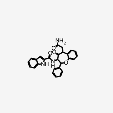 NC(=O)CC1C(=O)C(NC(=O)c2cc3ccccc3[nH]2)C(c2ccccc2)Oc2ccccc21